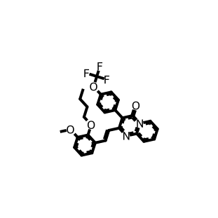 CCCCOc1c(/C=C/c2nc3ccccn3c(=O)c2-c2ccc(OC(F)(F)F)cc2)cccc1OC